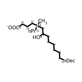 CCCCCCCCCCCCCCCCC(O)C[N+](C)(CCC)CCCC(=O)[O-]